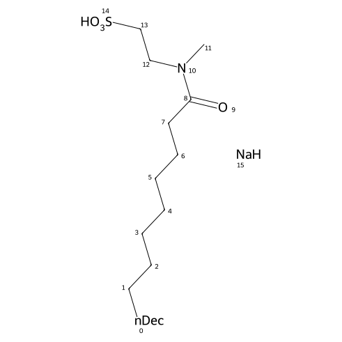 CCCCCCCCCCCCCCCCCC(=O)N(C)CCS(=O)(=O)O.[NaH]